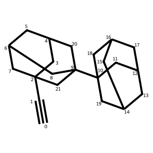 C#CC12CC3CC(C1)CC(C14CC5CC(CC(C5)C1)C4)(C3)C2